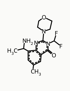 Cc1cc(C(C)N)c2nc(N3CCOCC3)n(C(F)F)c(=O)c2c1